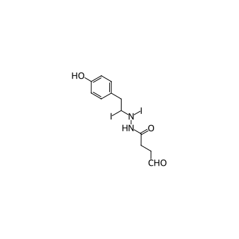 O=CCCC(=O)NN(I)C(I)Cc1ccc(O)cc1